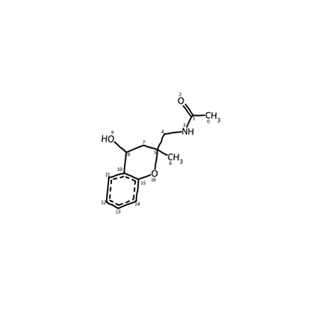 CC(=O)NCC1(C)CC(O)c2ccccc2O1